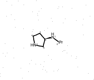 CC(C)N[C@@H]1CCNC1